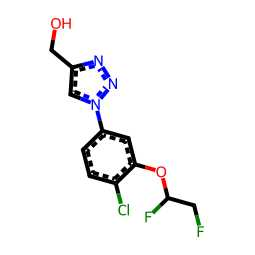 OCc1cn(-c2ccc(Cl)c(OC(F)CF)c2)nn1